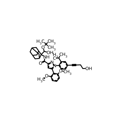 COc1cccc(OC)c1-c1cc(C(=O)NC2(C(O)OC(C)(C)C)C3CC4CC(C3)CC2C4)nn1-c1ccc(C#CCCO)cc1C(C)C